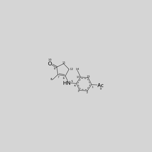 CC(=O)c1ccc(NC2=C(C)C(=O)CC2)c(C)c1